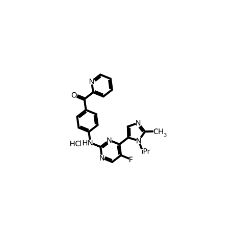 Cc1ncc(-c2nc(Nc3ccc(C(=O)c4ccccn4)cc3)ncc2F)n1C(C)C.Cl